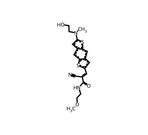 COCCNC(=O)/C(C#N)=C/c1cc2cc3sc(N(C)CCO)cc3cc2s1